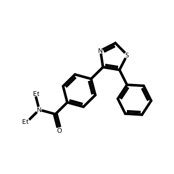 CCN(CC)C(=O)c1ccc(-c2n[c]sc2-c2ccccc2)cc1